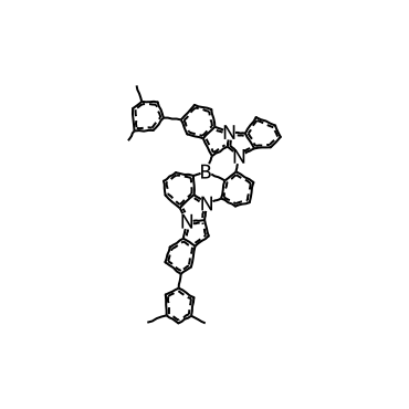 Cc1cc(C)cc(-c2ccc3c(c2)cc2n4c5c(cccc5n32)B2c3c-4cccc3-n3c4ccccc4n4c5ccc(-c6cc(C)cc(C)c6)cc5c2c34)c1